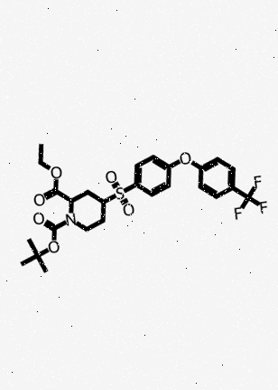 CCOC(=O)C1CC(S(=O)(=O)c2ccc(Oc3ccc(C(F)(F)F)cc3)cc2)CCN1C(=O)OC(C)(C)C